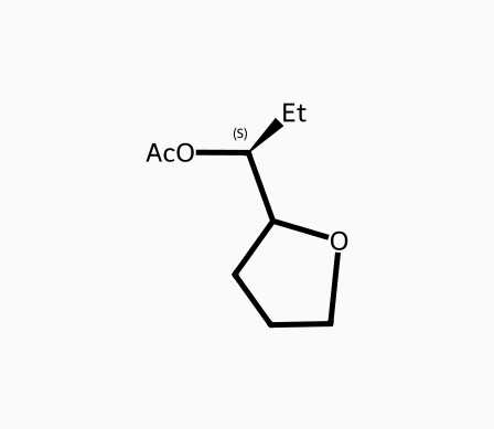 CC[C@H](OC(C)=O)C1CCCO1